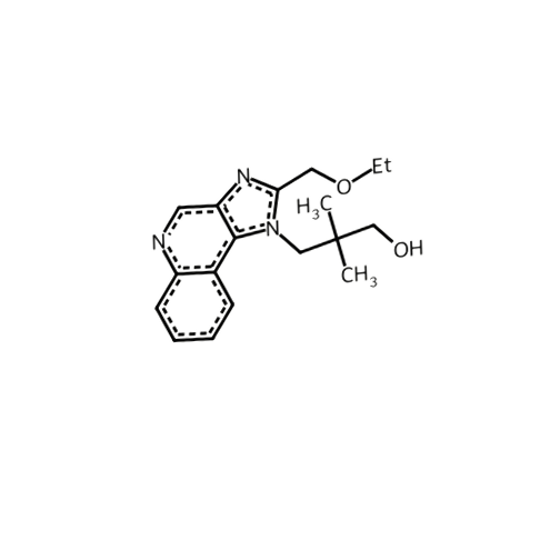 CCOCc1nc2cnc3ccccc3c2n1CC(C)(C)CO